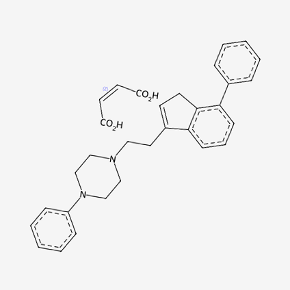 C1=C(CCN2CCN(c3ccccc3)CC2)c2cccc(-c3ccccc3)c2C1.O=C(O)/C=C\C(=O)O